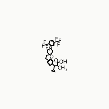 C[C@H](C(=O)O)C(c1ccc2c(c1)OC1(CC2)CCN(c2cc(C(F)(F)F)ccc2C(F)(F)F)CC1)C1CC1